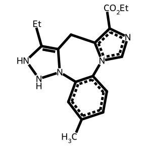 CCOC(=O)c1ncn2c1CC1=C(CC)NNN1c1cc(C)ccc1-2